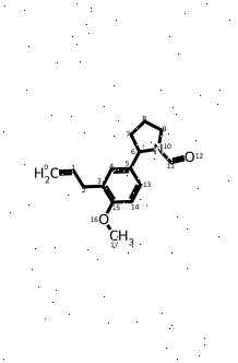 C=CCc1cc(C2CCCN2C=O)ccc1OC